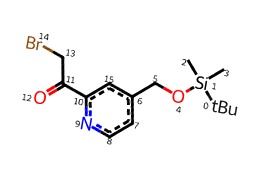 CC(C)(C)[Si](C)(C)OCc1ccnc(C(=O)CBr)c1